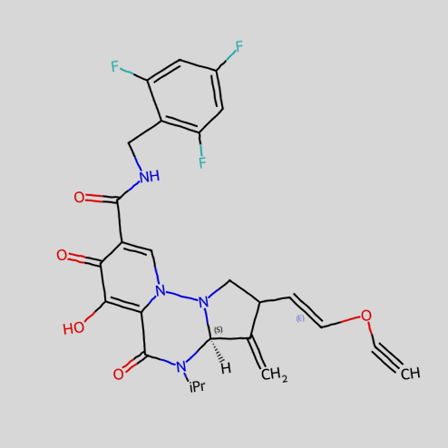 C#CO/C=C/C1CN2[C@@H](C1=C)N(C(C)C)C(=O)c1c(O)c(=O)c(C(=O)NCc3c(F)cc(F)cc3F)cn12